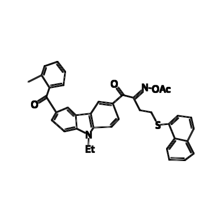 CCn1c2ccc(C(=O)/C(CCSc3cccc4ccccc34)=N/OC(C)=O)cc2c2cc(C(=O)c3ccccc3C)ccc21